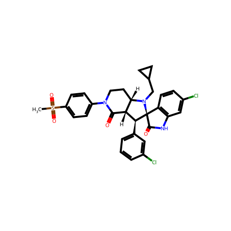 CS(=O)(=O)c1ccc(N2CC[C@H]3[C@@H](C2=O)[C@H](c2cccc(Cl)c2)[C@]2(C(=O)Nc4cc(Cl)ccc42)N3CC2CC2)cc1